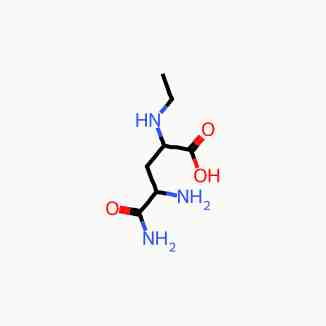 CCNC(CC(N)C(N)=O)C(=O)O